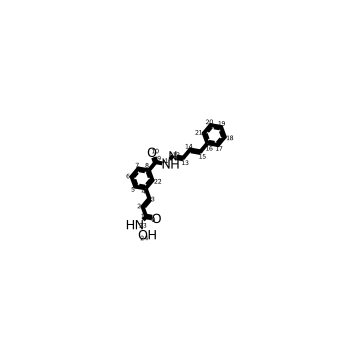 O=C(/C=C/c1cccc(C(=O)N/N=C/C=C/c2ccccc2)c1)NO